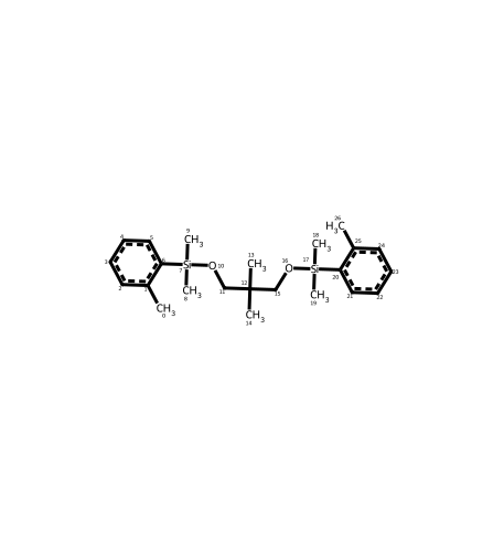 Cc1ccccc1[Si](C)(C)OCC(C)(C)CO[Si](C)(C)c1ccccc1C